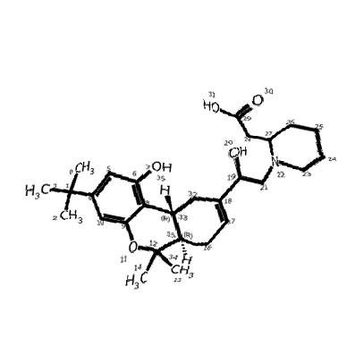 CC(C)(C)c1cc(O)c2c(c1)OC(C)(C)[C@@H]1CC=C(C(O)CN3CCCCC3CC(=O)O)C[C@@H]21